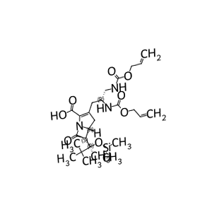 C=CCOC(=O)NC[C@@H](CC1=C(C(=O)O)N2C(=O)[C@H]([C@@](C)(O[SiH](C)C)C(C)(C)C)[C@H]2C1)NC(=O)OCC=C